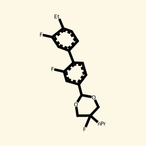 CCCC1(F)COC(c2ccc(-c3ccc(CC)c(F)c3)c(F)c2)OC1